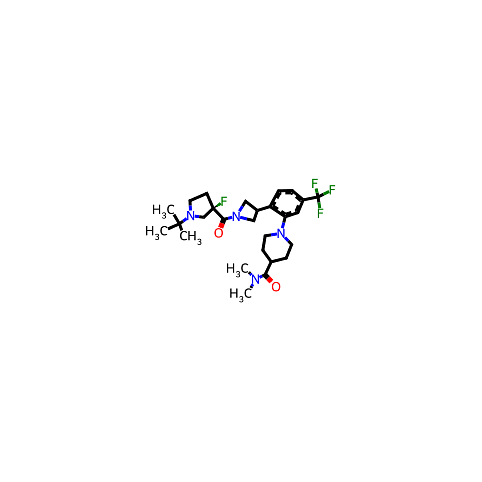 CN(C)C(=O)C1CCN(c2cc(C(F)(F)F)ccc2C2CN(C(=O)[C@@]3(F)CCN(C(C)(C)C)C3)C2)CC1